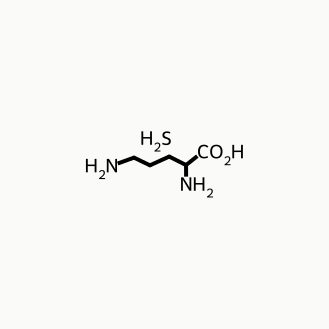 NCCCC(N)C(=O)O.S